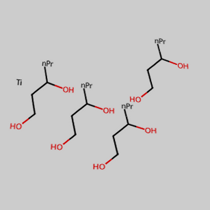 CCCC(O)CCO.CCCC(O)CCO.CCCC(O)CCO.CCCC(O)CCO.[Ti]